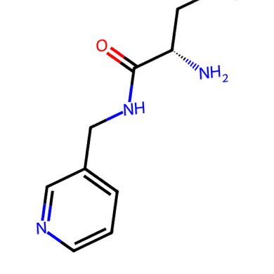 N[C@@H](CC(=O)O)C(=O)NCc1cccnc1